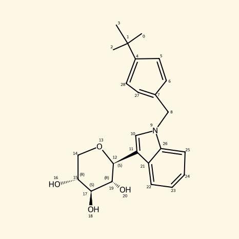 CC(C)(C)c1ccc(Cn2cc([C@@H]3OC[C@@H](O)[C@H](O)[C@H]3O)c3ccccc32)cc1